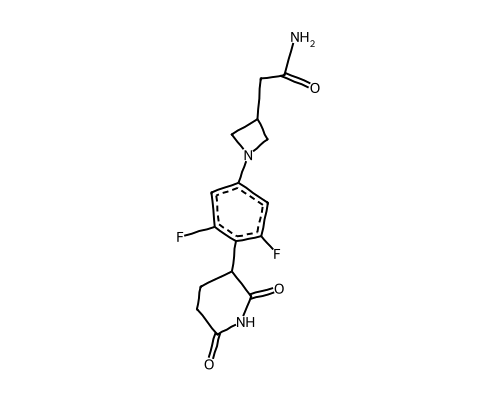 NC(=O)CC1CN(c2cc(F)c(C3CCC(=O)NC3=O)c(F)c2)C1